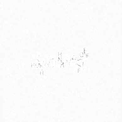 CC(O)(CO[C@H]1CC[C@H](NC(=O)[C@H]2C[C@H](Oc3cc(F)ccc3OC(F)F)C2)CC1)C1CC1